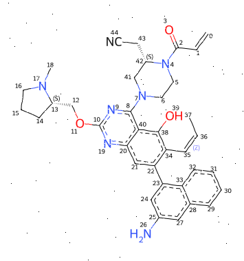 C=CC(=O)N1CCN(c2nc(OC[C@@H]3CCCN3C)nc3cc(-c4cc(N)cc5ccccc45)c(/C=C\C)c(O)c23)C[C@@H]1CC#N